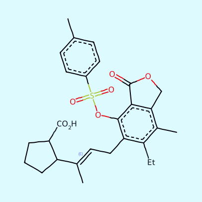 CCc1c(C)c2c(c(OS(=O)(=O)c3ccc(C)cc3)c1C/C=C(\C)C1CCCC1C(=O)O)C(=O)OC2